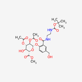 COC(=O)[C@H]1O[C@@H](Oc2ccc(CO)cc2C(=O)NCCNC(=O)OC(C)(C)C)[C@H](OC(C)=O)[C@@H](OC(C)=O)[C@@H]1O